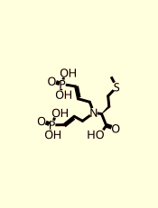 CSCC[C@@H](C(=O)O)N(CC=CP(=O)(O)O)CC=CP(=O)(O)O